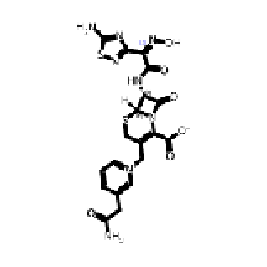 NC(=O)Cc1ccc[n+](CC2=C(C(=O)[O-])N3C(=O)[C@@H](NC(=O)/C(=N\O)c4nsc(N)n4)[C@H]3SC2)c1